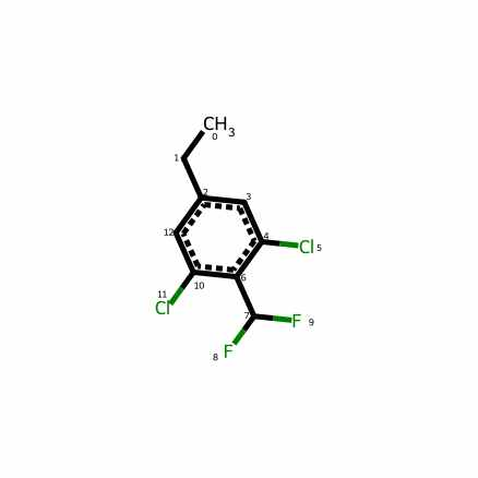 CCc1cc(Cl)c(C(F)F)c(Cl)c1